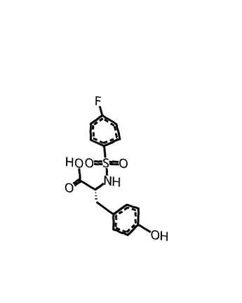 O=C(O)[C@@H](Cc1ccc(O)cc1)NS(=O)(=O)c1ccc(F)cc1